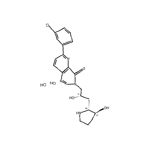 Cl.Cl.O=c1c2nc(-c3cccc(Cl)c3)ccc2ncn1C[C@@H](O)C[C@H]1NCCC[C@@H]1O